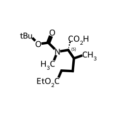 CCOC(=O)CCC(C)[C@@H](C(=O)O)N(C)C(=O)OC(C)(C)C